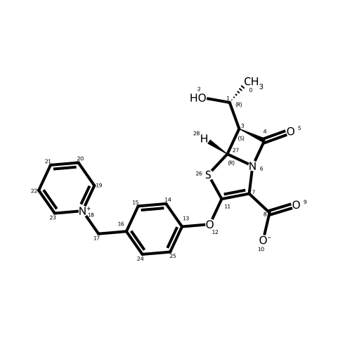 C[C@@H](O)[C@H]1C(=O)N2C(C(=O)[O-])=C(Oc3ccc(C[n+]4ccccc4)cc3)S[C@H]12